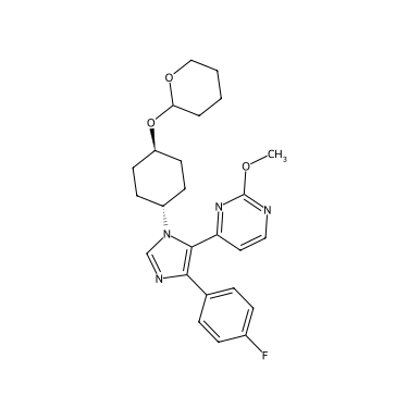 COc1nccc(-c2c(-c3ccc(F)cc3)ncn2[C@H]2CC[C@H](OC3CCCCO3)CC2)n1